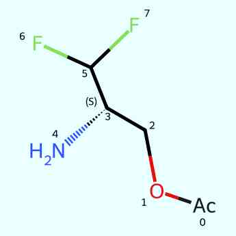 CC(=O)OC[C@H](N)C(F)F